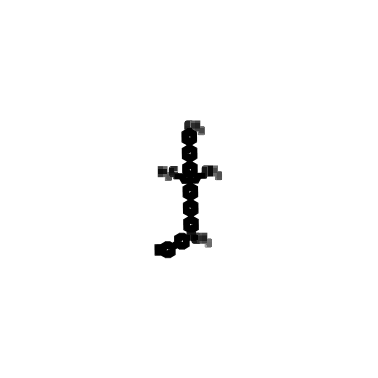 CCCCC(CCCC)(c1ccc(-c2ccc(-c3ccc(C)cc3)cc2)cc1)c1ccc(-c2ccc(-c3ccc(N(C)c4ccc(-c5ccc6c(c5)CC6)cc4)cc3)cc2)cc1